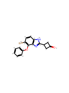 O=C1CC(c2nc3c(Oc4ccccc4)c(Br)ccc3[nH]2)C1